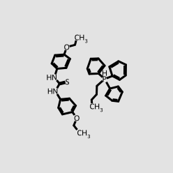 CCCC[PH](c1ccccc1)(c1ccccc1)c1ccccc1.CCOc1ccc(NC(=S)Nc2ccc(OCC)cc2)cc1